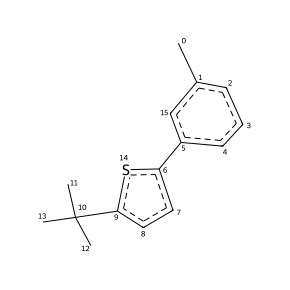 Cc1cccc(-c2ccc(C(C)(C)C)s2)c1